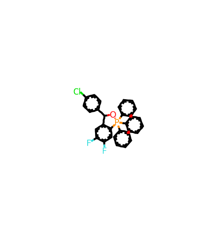 Fc1cc2c(cc1F)P(c1ccccc1)(c1ccccc1)(c1ccccc1)OC2c1ccc(Cl)cc1